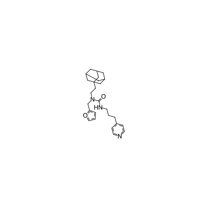 O=C(NCCCc1ccncc1)N(CCC12CC3CC(CC(C3)C1)C2)Cc1ccco1